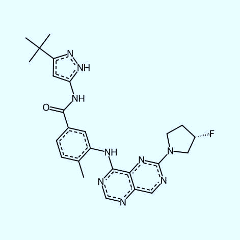 Cc1ccc(C(=O)Nc2cc(C(C)(C)C)n[nH]2)cc1Nc1ncnc2cnc(N3CC[C@H](F)C3)nc12